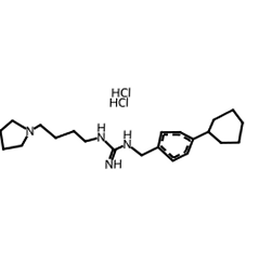 Cl.Cl.N=C(NCCCCN1CCCC1)NCc1ccc(C2CCCCC2)cc1